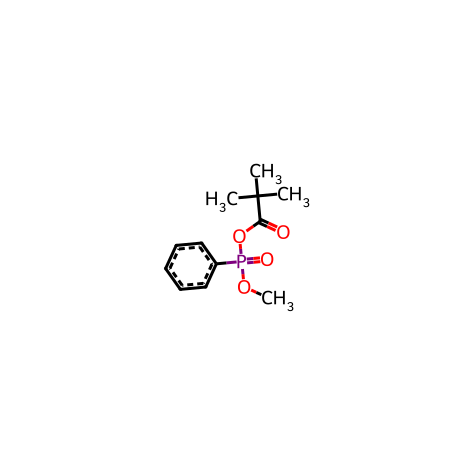 COP(=O)(OC(=O)C(C)(C)C)c1ccccc1